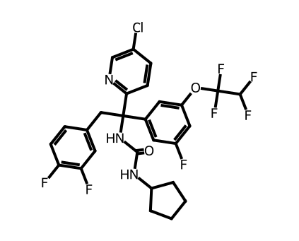 O=C(NC1CCCC1)NC(Cc1ccc(F)c(F)c1)(c1cc(F)cc(OC(F)(F)C(F)F)c1)c1ccc(Cl)cn1